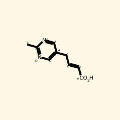 Cc1ncc(CC=CC(=O)O)cn1